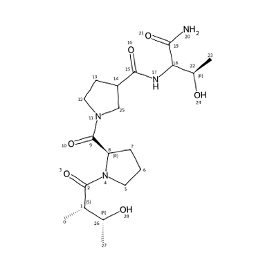 C[C@H](C(=O)N1CCC[C@@H]1C(=O)N1CCC(C(=O)NC(C(N)=O)[C@@H](C)O)C1)[C@@H](C)O